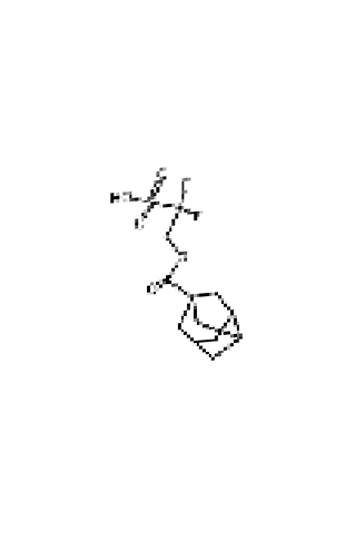 O=C(OCC(F)(F)S(=O)(=O)O)C12CC3CC(C1)C(C3)C2